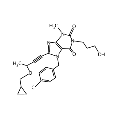 CC(C#Cc1nc2c(c(=O)n(CCCO)c(=O)n2C)n1Cc1ccc(Cl)cc1)OCC1CC1